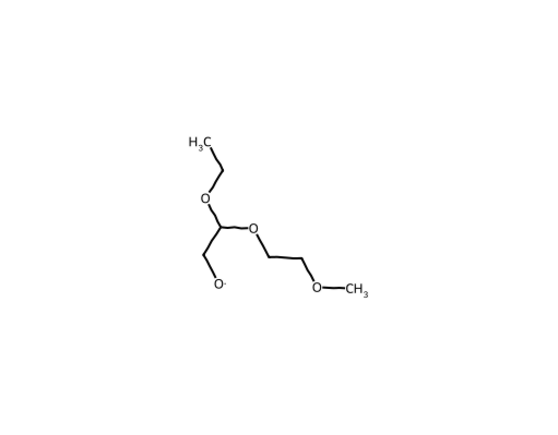 CCOC(C[O])OCCOC